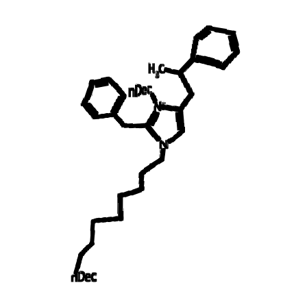 CCCCCCCCCCCCCCCCCCn1cc(CC(C)c2ccccc2)[n+](CCCCCCCCCC)c1Cc1ccccc1